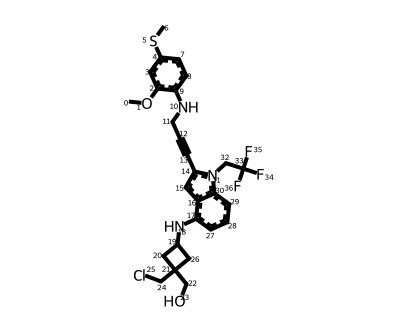 COc1cc(SC)ccc1NCC#Cc1cc2c(NC3CC(CO)(CCl)C3)cccc2n1CC(F)(F)F